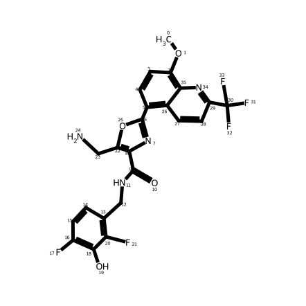 COc1ccc(-c2nc(C(=O)NCc3ccc(F)c(O)c3F)c(CN)o2)c2ccc(C(F)(F)F)nc12